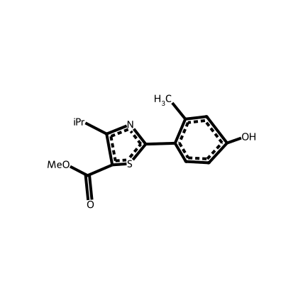 COC(=O)c1sc(-c2ccc(O)cc2C)nc1C(C)C